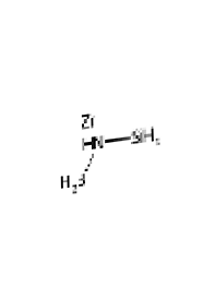 BN[SiH3].[Zr]